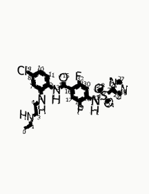 CCNCCNc1cc(Cl)ccc1NC(=O)c1cc(F)c(NS(=O)(=O)c2ncns2)cc1F